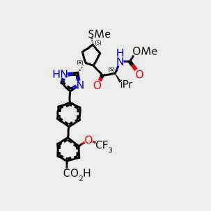 COC(=O)N[C@H](C(=O)C1C[C@@H](SC)C[C@H]1c1nc(-c2ccc(-c3ccc(C(=O)O)cc3OC(F)(F)F)cc2)c[nH]1)C(C)C